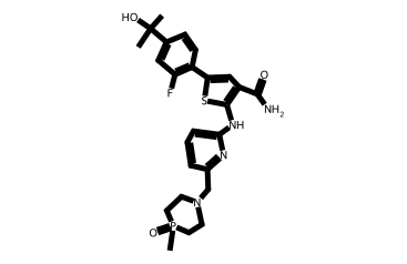 CC(C)(O)c1ccc(-c2cc(C(N)=O)c(Nc3cccc(CN4CCP(C)(=O)CC4)n3)s2)c(F)c1